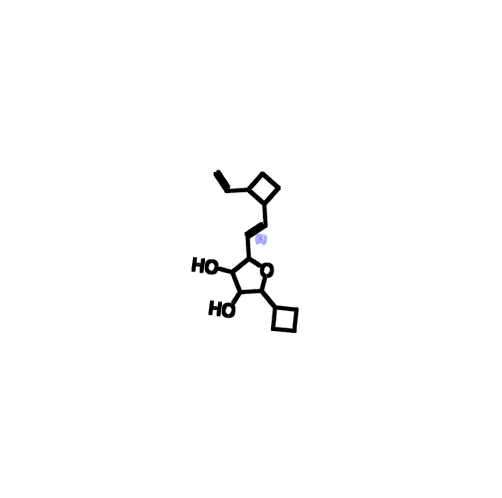 C=CC1CCC1/C=C/C1OC(C2CCC2)C(O)C1O